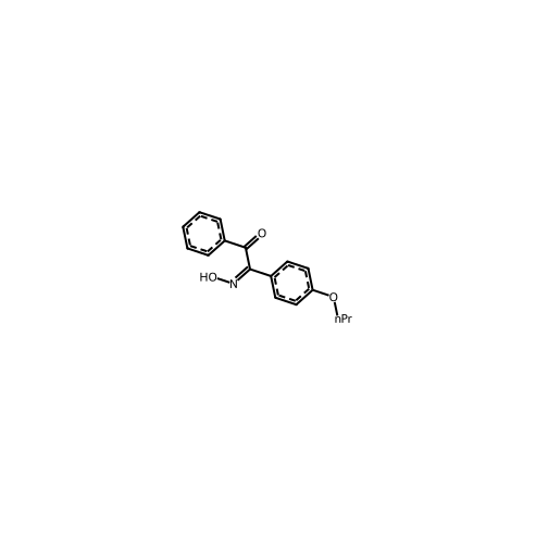 CCCOc1ccc(/C(=N/O)C(=O)c2ccccc2)cc1